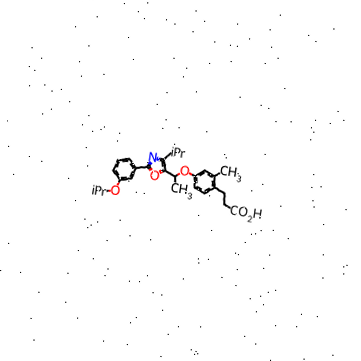 Cc1cc(OC(C)c2oc(-c3cccc(OC(C)C)c3)nc2C(C)C)ccc1CCC(=O)O